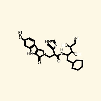 CCOc1ccc2c3c([nH]c2c1)C(=O)N(CC(C(=O)NC(CC1CCCCC1)C(O)C(O)CC(C)C)c1c[nH]cn1)C3